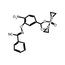 CC(OP(=O)(N1CC1)N1CC1)c1ccc([N+](=O)[O-])c(O/N=C(\C#N)c2ccccc2)c1